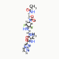 CCC(=O)NC[C@H]1CN(c2cc(F)c(NCCNC(=O)[C@H](C)NC(=O)c3cn4cccnc4n3)c(F)c2)C(=O)O1